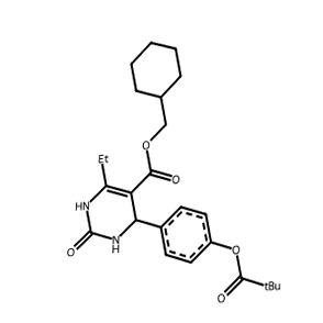 CCC1=C(C(=O)OCC2CCCCC2)C(c2ccc(OC(=O)C(C)(C)C)cc2)NC(=O)N1